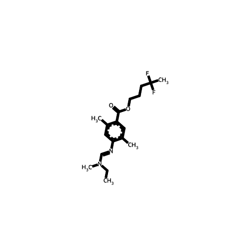 CCN(C)/C=N/c1cc(C)c(C(=O)OCCCC(C)(F)F)cc1C